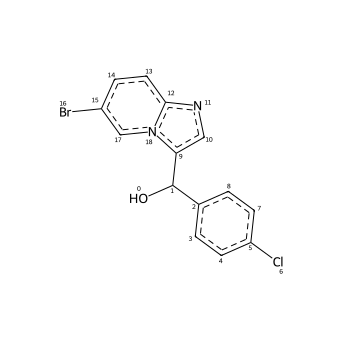 OC(c1ccc(Cl)cc1)c1cnc2ccc(Br)cn12